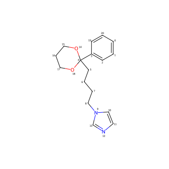 c1ccc(C2(CCCCn3ccnc3)OCCCO2)cc1